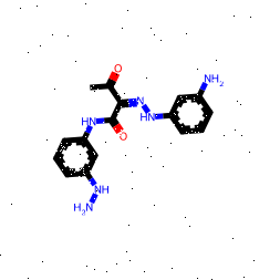 CC(=O)/C(=N/Nc1cccc(N)c1)C(=O)Nc1cccc(NN)c1